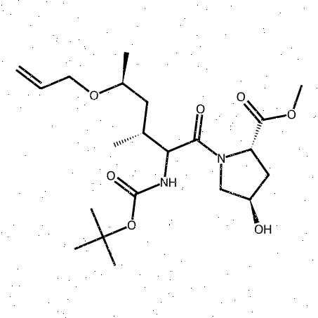 C=CCO[C@@H](C)C[C@@H](C)C(NC(=O)OC(C)(C)C)C(=O)N1C[C@H](O)C[C@H]1C(=O)OC